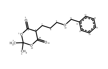 CC1(C)OC(=O)C(CCCOCc2ccccc2)C(=O)O1